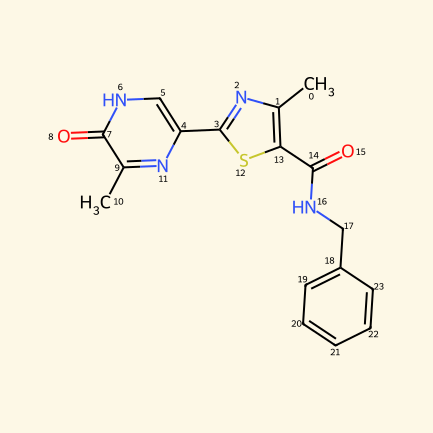 Cc1nc(-c2c[nH]c(=O)c(C)n2)sc1C(=O)NCc1ccccc1